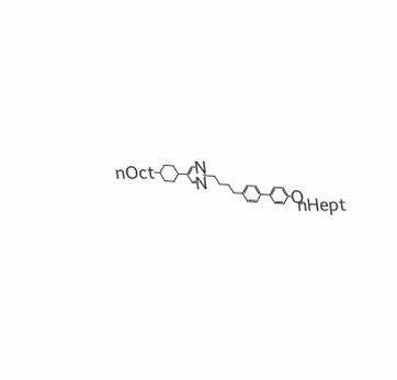 [CH2+][CH-]CCCCCCC1CCC(c2cnc(CCCCc3ccc(-c4ccc(OCCCCCCC)cc4)cc3)nc2)CC1